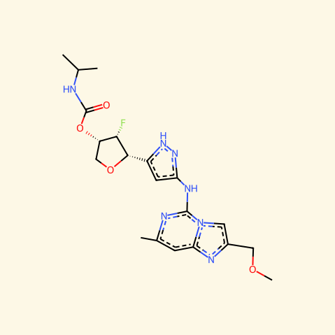 COCc1cn2c(Nc3cc([C@@H]4OC[C@H](OC(=O)NC(C)C)[C@@H]4F)[nH]n3)nc(C)cc2n1